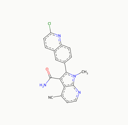 Cn1c(-c2ccc3nc(Cl)ccc3c2)c(C(N)=O)c2c(C#N)ccnc21